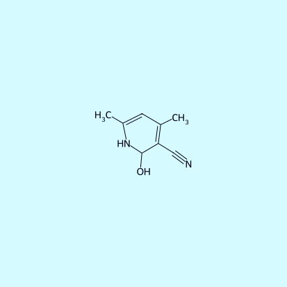 CC1=CC(C)=C(C#N)C(O)N1